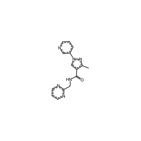 Cc1nn(-c2cccnc2)cc1C(=O)NCc1ncccn1